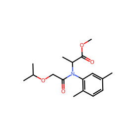 COC(=O)C(C)N(C(=O)COC(C)C)c1cc(C)ccc1C